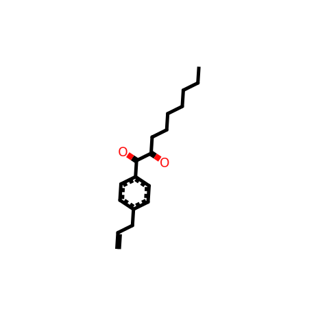 C=CCc1ccc(C(=O)C(=O)CCCCCCC)cc1